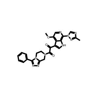 COc1cnc(-n2cnc(C)n2)c2[nH]cc(C(=O)C(=O)N3CCn4c(nnc4-c4ccccc4)C3)c12